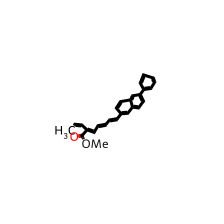 C/C=C\C(=C/C=CC=Cc1ccc2cc(-c3ccccc3)ccc2c1)C(=O)OC